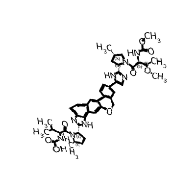 COC(=O)N[C@H](C(=O)N1C[C@@H](C)C[C@H]1c1ncc(-c2ccc3c(c2)COc2cc4c(ccc5nc([C@@H]6CC[C@H](C)N6C(=O)[C@@H](NC(=O)O)C(C)C)[nH]c54)cc2-3)[nH]1)[C@@H](C)OC